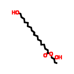 CCC(O)COC(=O)CCCCCCC/C=C/CCCCCCCCO